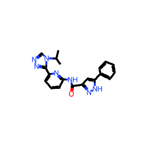 CC(C)n1cnnc1-c1cccc(NC(=O)c2cc(-c3ccccc3)[nH]n2)n1